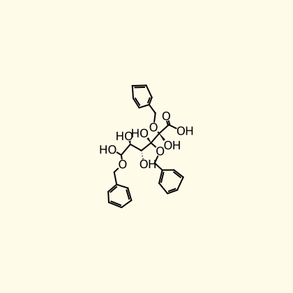 O=C(O)[C@@](O)(OCc1ccccc1)[C@](O)(OCc1ccccc1)[C@H](O)[C@H](O)C(O)OCc1ccccc1